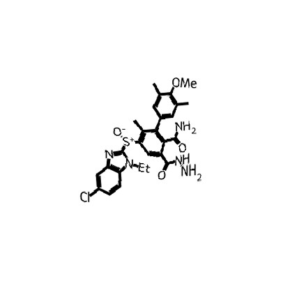 CCn1c([S+]([O-])c2cc(C(=O)NN)c(C(N)=O)c(-c3cc(C)c(OC)c(C)c3)c2C)nc2cc(Cl)ccc21